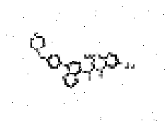 COc1ccc(C(C)(C)C)cc1NC(=O)Nc1ccc(-c2ccc(CN3CCSCC3)cc2)c2ccccc12